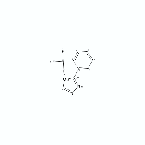 FC(F)(F)c1ccccc1-c1nnco1